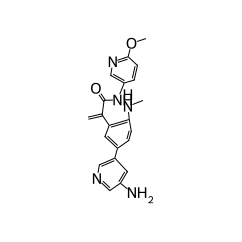 C=C(C(=O)Nc1ccc(OC)nc1)c1cc(-c2cncc(N)c2)ccc1NC